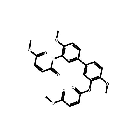 COC(=O)/C=C\C(=O)Oc1cc(-c2ccc(OC)c(OC(=O)/C=C\C(=O)OC)c2)ccc1OC